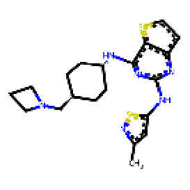 Cc1cc(Nc2nc(N[C@H]3CC[C@H](CN4CCC4)CC3)c3sccc3n2)sn1